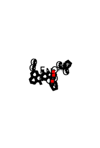 CCc1cccc2cc(OCOC)cc(-c3c(F)cc4c(N5CC6CCC(C5)N6C(=O)OC(C)(C)C)nc(OC[C@@H](CN5C6CCC5C(OC)C6)OC)nc4c3F)c12